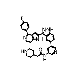 O=C(CC1CCNCC1)Nc1cncc(-c2ccc3[nH]nc(-c4cc5c(-c6ccc(F)cc6)nccc5[nH]4)c3c2)c1